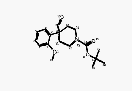 COc1ccccc1C1(C=O)CCN(C(=O)OC(C)(C)C)CC1